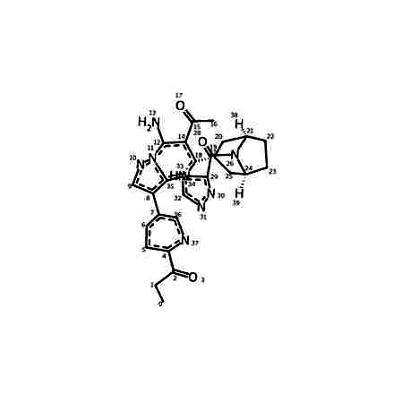 CCC(=O)c1ccc(-c2cnn3c(N)c(C(C)=O)c([C@@H]4C[C@H]5CC[C@@H](C4)N5C(=O)c4nnc[nH]4)nc23)cn1